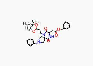 CC(C)(C)OC(=O)CCN1C(=O)C(CC(=O)OCc2ccccc2)NC(=O)C12CCN(Cc1ccccc1)CC2